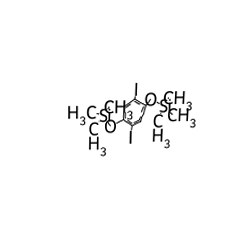 C[Si](C)(C)Oc1cc(I)c(O[Si](C)(C)C)cc1I